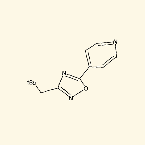 CC(C)(C)Cc1noc(-c2ccncc2)n1